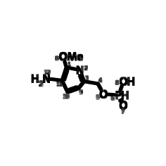 COc1nc(CO[PH](=O)O)ccc1N